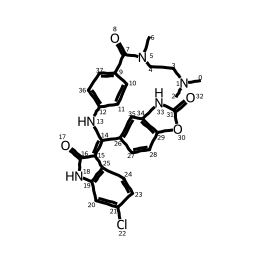 CN(C)CCN(C)C(=O)c1ccc(N/C(=C2\C(=O)Nc3cc(Cl)ccc32)c2ccc3oc(=O)[nH]c3c2)cc1